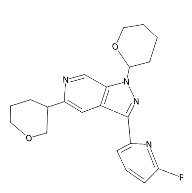 Fc1cccc(-c2nn(C3CCCCO3)c3cnc(C4CCCOC4)cc23)n1